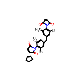 C1=CCCC1.CCc1cc(Cc2cc(C)c(N3C(=O)C=CC3=O)c(CC)c2)cc(C)c1N1C(=O)C=CC1=O